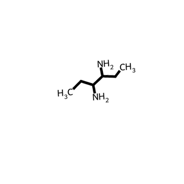 CCC(N)C(N)CC